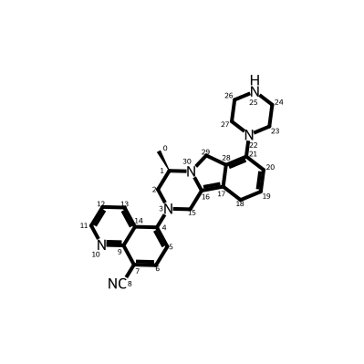 C[C@@H]1CN(c2ccc(C#N)c3ncccc23)CC2=C3CC=CC(N4CCNCC4)=C3CN21